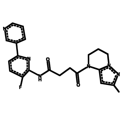 Cc1cc2n(n1)CCCN2C(=O)CCC(=O)Nc1nc(-c2cccnc2)ccc1F